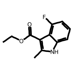 CCOC(=O)c1c(C)[nH]c2cccc(F)c12